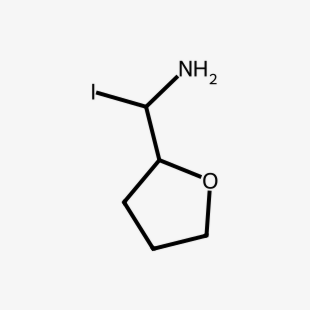 NC(I)C1CCCO1